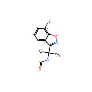 CC(C)(NC=O)c1noc2c(Cl)cccc12